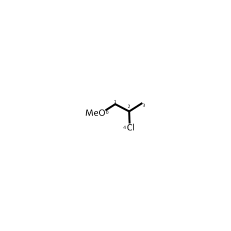 COCC(C)Cl